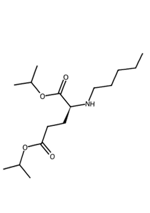 CCCCCN[C@@H](CCC(=O)OC(C)C)C(=O)OC(C)C